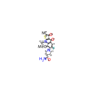 COc1c(N2CCC(C(N)=O)CC2)c(F)cc2c(=O)c3c(n(C4CC4)c12)SC(C#N)C3=O